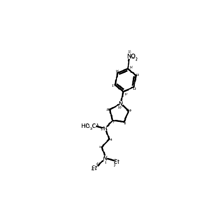 CCN(CC)CCN(C(=O)O)C1CCN(c2ccc([N+](=O)[O-])cc2)C1